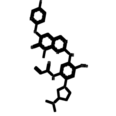 C=CC(=O)Nc1cc(Nc2ncc3cc(Oc4ccc(F)cn4)c(=O)n(C)c3n2)c(OC)cc1N1CCC(N(C)C)C1